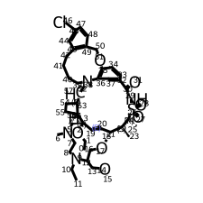 CCO[C@@]1(CN(C)CCN(CC)C(COC)COC)/C=C/C[C@H](C)[C@@H](C)S(=O)(=O)NC(=O)c2ccc3c(c2)N(CCCCc2cc(Cl)ccc2CO3)C[C@@H]2CC[C@H]21